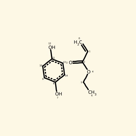 C=CC(=O)OCC.Oc1ccc(O)cc1